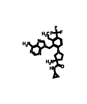 CCc1c(C(F)(F)F)ccc(N2CCC(N)(C(=O)NC3CC3)C2)c1Cn1cnc2c(N)ncnc21